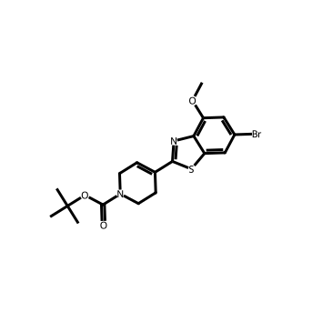 COc1cc(Br)cc2sc(C3=CCN(C(=O)OC(C)(C)C)CC3)nc12